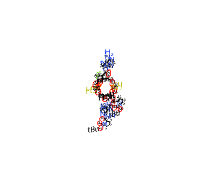 CC(C)(C)OC(=O)N1CCC[C@@H]1C(=O)Nc1ncnc2c1ncn2[C@@H]1O[C@@H]2CO[P@](=O)(S)O[C@@H]3C(CO[P@@](=O)(S)O[C@H]2[C@H]1OC(=O)[C@H]1CCCN1C(=O)OC(C)(C)C)O[C@@H](n1cnc2c(N)ncnc21)[C@@H]3F